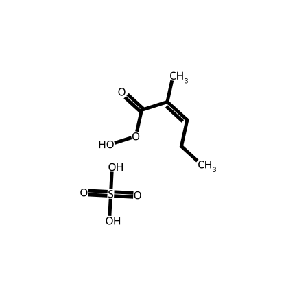 CCC=C(C)C(=O)OO.O=S(=O)(O)O